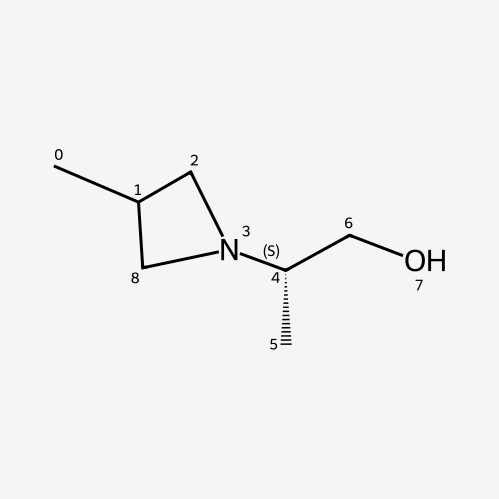 CC1CN([C@@H](C)CO)C1